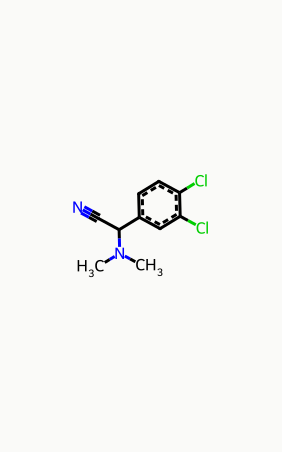 CN(C)C(C#N)c1ccc(Cl)c(Cl)c1